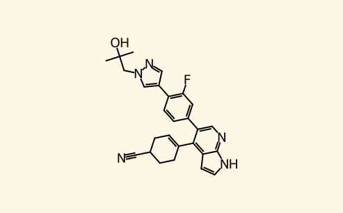 CC(C)(O)Cn1cc(-c2ccc(-c3cnc4[nH]ccc4c3C3=CCC(C#N)CC3)cc2F)cn1